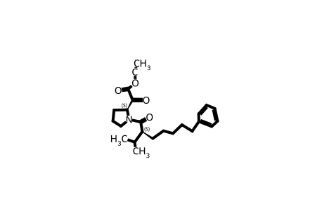 CCOC(=O)C(=O)[C@@H]1CCCN1C(=O)[C@@H](CCCCCc1ccccc1)C(C)C